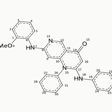 COc1ccccc1Nc1cc2c(cn1)c(=O)cc(Nc1ccccc1)n2-c1ccccc1